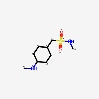 CNC1CCC(CS(=O)(=O)NC)CC1